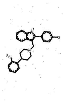 FC(F)(F)c1ccccc1C1CCN(Cc2c(-c3ccc(Cl)cc3)[nH]c3ccccc23)CC1